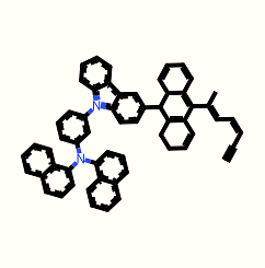 C#C/C=C\C=C(/C)C1=C2C=CC=CC2C(c2ccc3c(c2)c2ccccc2n3-c2cccc(N(c3cccc4ccccc34)c3cccc4ccccc34)c2)C2=C1C=CCC2